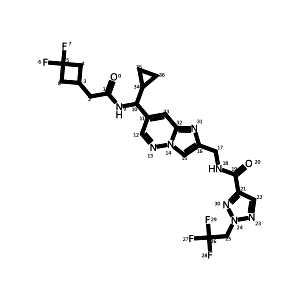 O=C(CC1CC(F)(F)C1)NC(c1cnn2cc(CNC(=O)c3cnn(CC(F)(F)F)n3)nc2c1)C1CC1